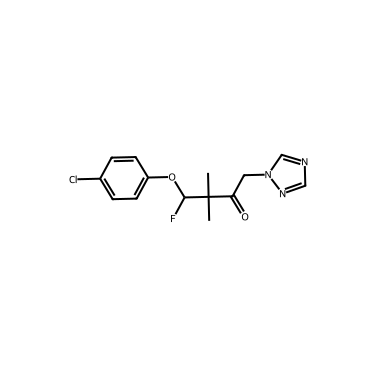 CC(C)(C(=O)Cn1cncn1)C(F)Oc1ccc(Cl)cc1